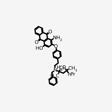 CCCC(C)(C)CC(C)(C)N(CCc1ccc(Oc2cc(O)c3c(c2N)C(=O)c2ccccc2C3=O)cc1)Cc1ccccc1